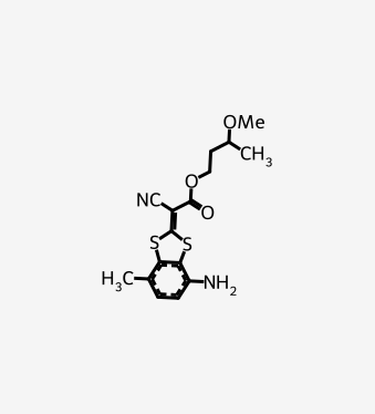 COC(C)CCOC(=O)/C(C#N)=C1/Sc2c(C)ccc(N)c2S1